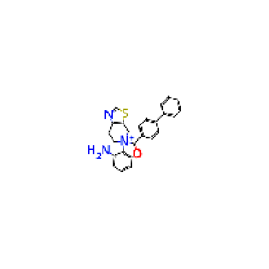 Nc1ccccc1[N+]1(C(=O)c2ccc(-c3ccccc3)cc2)CCc2ncsc2C1